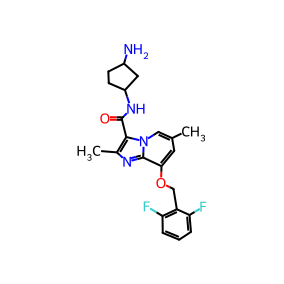 Cc1cc(OCc2c(F)cccc2F)c2nc(C)c(C(=O)NC3CCC(N)C3)n2c1